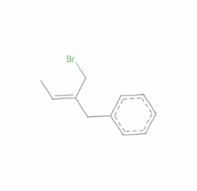 CC=C(CBr)Cc1ccccc1